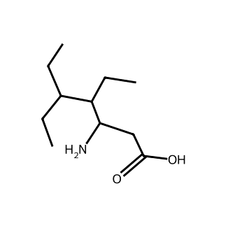 CCC(CC)C(CC)C(N)CC(=O)O